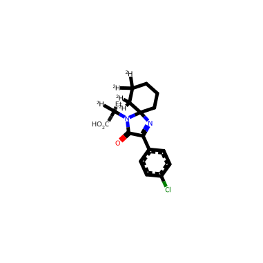 [2H]C(CC)(C(=O)O)N1C(=O)C(c2ccc(Cl)cc2)=NC12CCCC([2H])([2H])C2([2H])[2H]